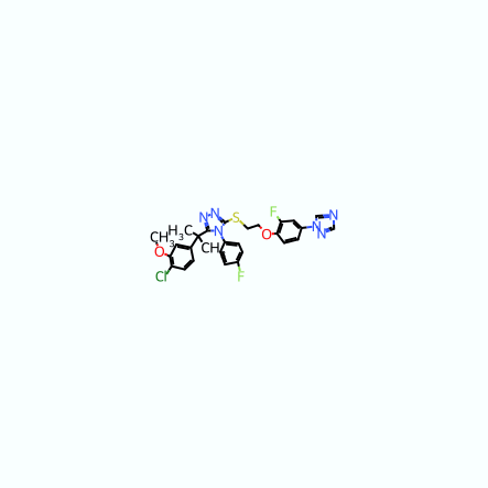 COc1cc(C(C)(C)c2nnc(SCCOc3ccc(-n4cncn4)cc3F)n2-c2ccc(F)cc2)ccc1Cl